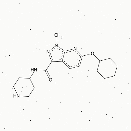 Cn1nc(C(=O)NC2CCNCC2)c2ccc(OC3CCCCC3)nc21